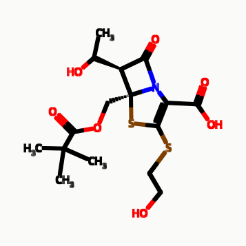 CC(O)[C@H]1C(=O)N2C(C(=O)O)=C(SCCO)S[C@@]12COC(=O)C(C)(C)C